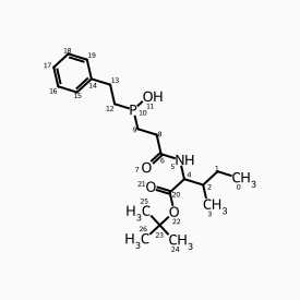 CCC(C)C(NC(=O)CCP(O)CCc1ccccc1)C(=O)OC(C)(C)C